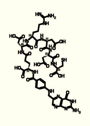 N=C(N)NCCC[C@H](NC(=O)[C@@H](CC(=O)O)NC(=O)CC[C@H](NC(=O)c1ccc(NCc2cnc3nc(N)[nH]c(=O)c3n2)cc1)C(=O)O)C(=O)N[C@@H](CC(=O)O)C(=O)N[C@@H](CC(=O)O)C(=O)N[C@@H](CS)C(=O)O